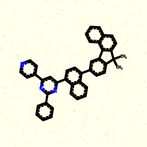 CC1(C)c2ccc(-c3ccc(-c4cc(-c5ccncc5)nc(-c5ccccc5)n4)c4ccccc34)cc2-c2c1ccc1ccccc21